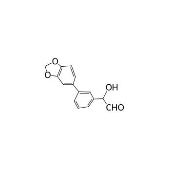 O=CC(O)c1cccc(-c2ccc3c(c2)OCO3)c1